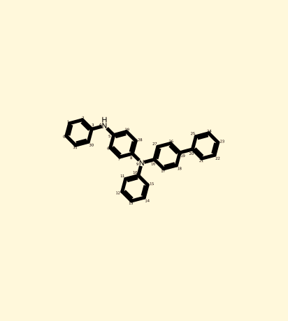 c1ccc(Nc2ccc(N(c3ccccc3)c3ccc(-c4ccccc4)cc3)cc2)cc1